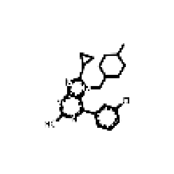 CC1CCC(Cn2c(C3CC3)nc3nc(C#N)nc(-c4cccc(Cl)c4)c32)CC1